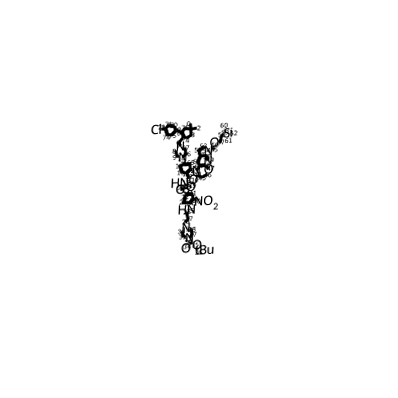 CC1(C)CCC(CN2CCN(c3ccc(C(=O)NS(=O)(=O)c4ccc(NCCCN5CCN(C(=O)OC(C)(C)C)CC5)c([N+](=O)[O-])c4)c(N4CCCOc5nc6c(ccn6COCC[Si](C)(C)C)cc54)c3)CC2)=C(c2ccc(Cl)cc2)C1